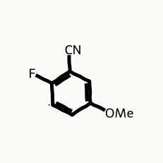 COc1c[c]c(F)c(C#N)c1